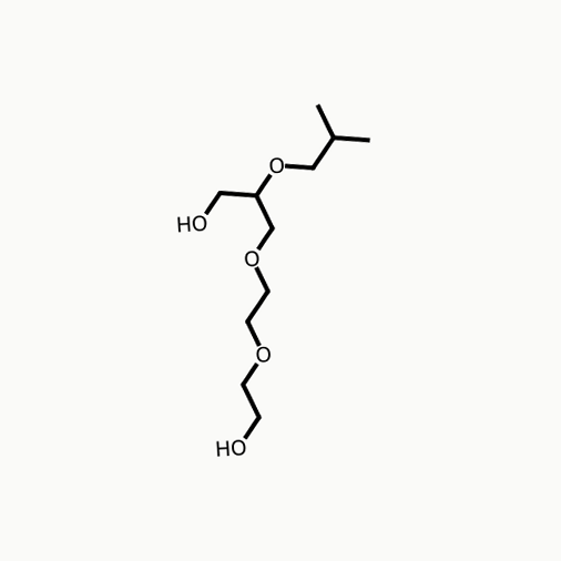 CC(C)COC(CO)COCCOCCO